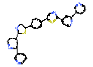 c1cncc(-c2cc(C3=NCC(c4ccc(-c5cnc(-c6ccnc(-c7cccnc7)c6)s5)cc4)S3)ccn2)c1